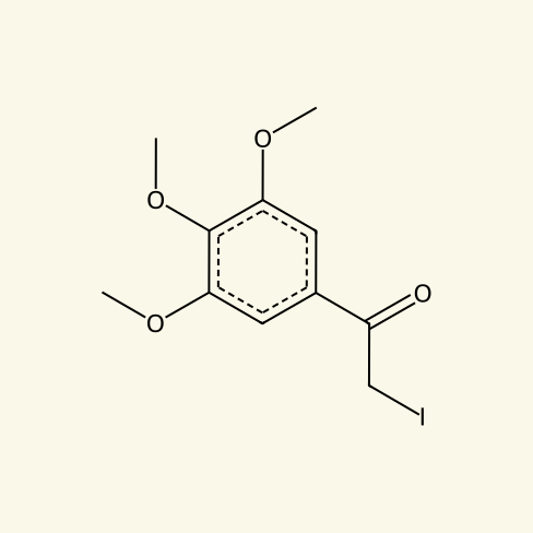 COc1cc(C(=O)CI)cc(OC)c1OC